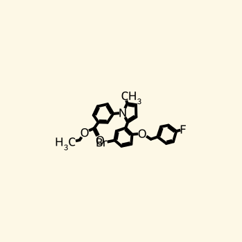 CCOC(=O)c1cccc(-n2c(C)ccc2-c2cc(Br)ccc2OCc2ccc(F)cc2)c1